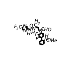 CSNc1ccccc1-c1ccc(N(C=O)CC[C@H](C)NC(=O)Nc2cnc(C(F)(F)F)cn2)c(F)c1F